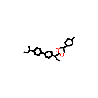 CCC(C)c1ccc(-c2ccc(C(CC)C3OCC(C4CCC(C)CC4)CO3)cc2)cc1